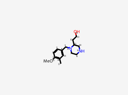 COc1ccc(CN2CCNCC2CCO)cc1C